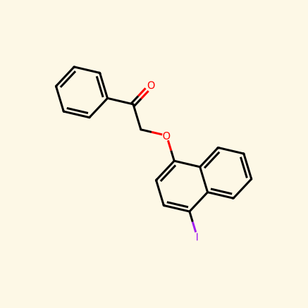 O=C(COc1ccc(I)c2ccccc12)c1ccccc1